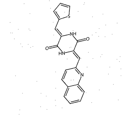 O=c1[nH]/c(=C\c2cccs2)c(=O)[nH]/c1=C\c1ccc2ccccc2n1